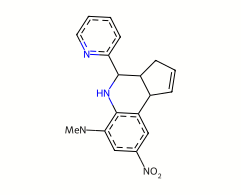 CNc1cc([N+](=O)[O-])cc2c1NC(c1ccccn1)C1CC=CC21